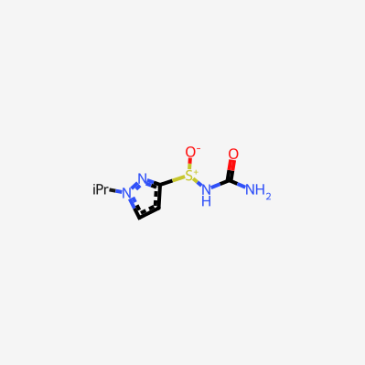 CC(C)n1ccc([S+]([O-])NC(N)=O)n1